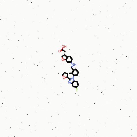 Cc1c(CNc2ccc3c(c2)OC[C@H]3CC(=O)O)cccc1-n1c(C2CCCO2)nc2cc(F)ccc21